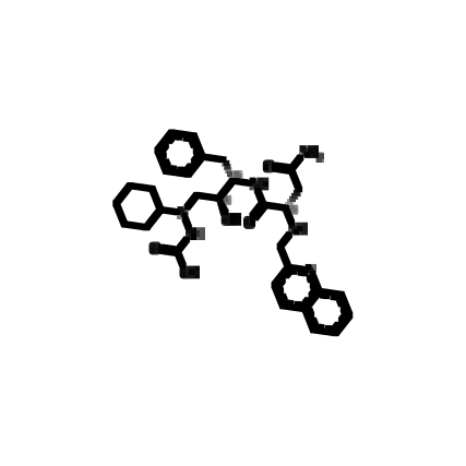 NC(=O)C[C@H](NCc1ccc2ccccc2n1)C(=O)N[C@@H](Cc1ccccc1)[C@@H](O)CN(NC(=O)O)C1CCCCC1